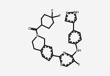 O=C(C1CCC(F)(F)CC1)N1CCc2ccc(-c3ncc(F)c(Nc4ccc(-c5cn[nH]c5)cc4)n3)cc2C1